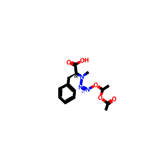 CC(=O)OC(C)O/N=N\N(C)[C@@H](Cc1ccccc1)C(=O)O